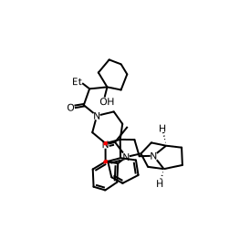 CCC(C(=O)N1CCC(CCN2[C@@H]3CC[C@H]2CC(n2c(C)nc4ccccc42)C3)(c2ccccc2)CC1)C1(O)CCCCC1